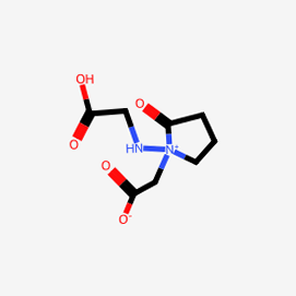 O=C([O-])C[N+]1(NCC(=O)O)CCCC1=O